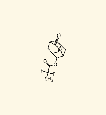 CC(F)(F)C(=O)OC1C2CC3CC(C2)C(=O)OC1C3